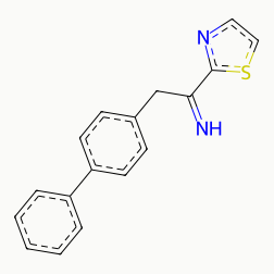 N=C(Cc1ccc(-c2ccccc2)cc1)c1nccs1